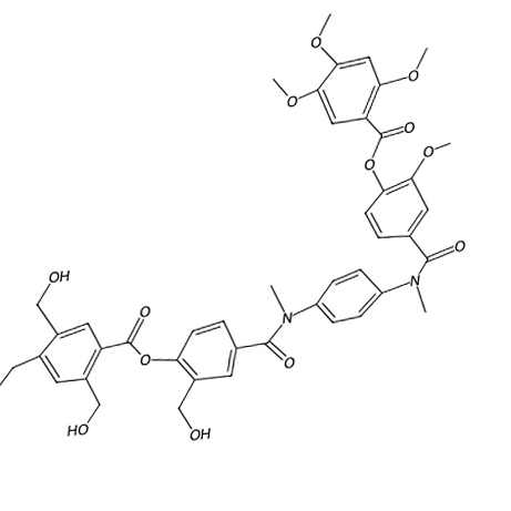 COc1cc(OC)c(C(=O)Oc2ccc(C(=O)N(C)c3ccc(N(C)C(=O)c4ccc(OC(=O)c5cc(CO)c(CO)cc5CO)c(CO)c4)cc3)cc2OC)cc1OC